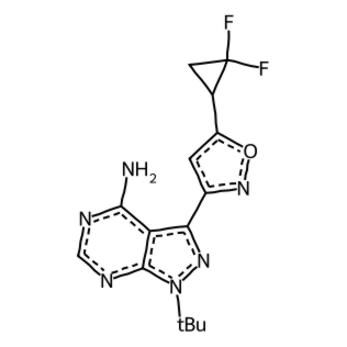 CC(C)(C)n1nc(-c2cc(C3CC3(F)F)on2)c2c(N)ncnc21